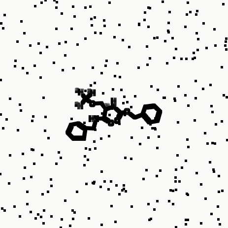 [2H]C([2H])([2H])OC[C@@H](NC(=O)OCc1ccccc1)C(=O)NCc1ccccc1